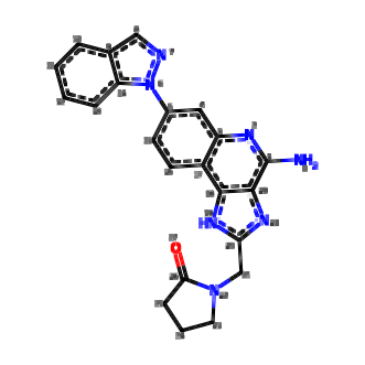 Nc1nc2cc(-n3ncc4ccccc43)ccc2c2[nH]c(CN3CCCC3=O)nc12